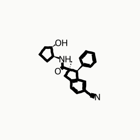 C[C@@]1(C(=O)N[C@H]2CCC[C@@H]2O)Cc2ccc(C#N)cc2[C@@H]1c1ccccc1